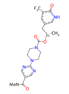 CNC(=O)c1cnc(N2CCN(C(=O)O[C@@H](C)Cc3c[nH]c(=O)c(C(F)(F)F)c3)CC2)nc1